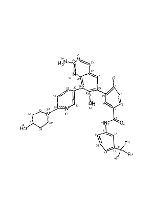 Cc1ccc(C(=O)Nc2cccc(C(F)(F)F)c2)cc1-c1cc2cnc(N)nc2c(-c2ccc(N3CCC(O)CC3)nc2)c1O